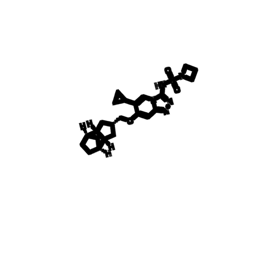 O=S(=O)(Nc1nnc2cc(OC[C@@H]3C[C@@H]4[C@H]5CC[C@H](C5)[C@@H]4C3)c(C3CC3)cn12)N1CCC1